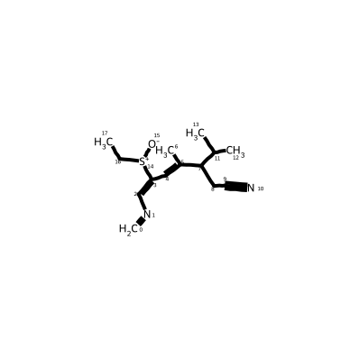 C=N/C=C(\C=C(/C)C(CC#N)C(C)C)[S+]([O-])CC